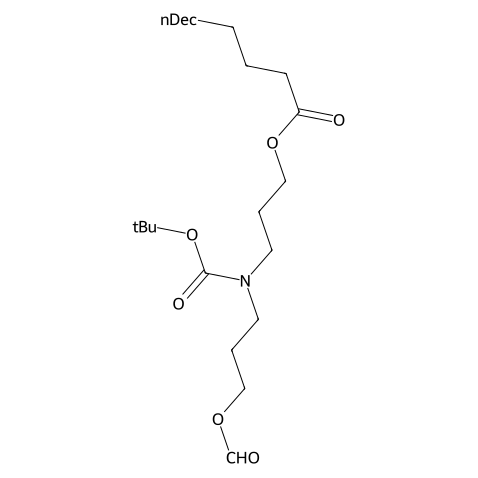 CCCCCCCCCCCCCC(=O)OCCCN(CCCOC=O)C(=O)OC(C)(C)C